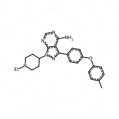 CCN1CCC(n2nc(-c3ccc(Oc4ccc(C)cc4)cc3)c3c(N)ncnc32)CC1